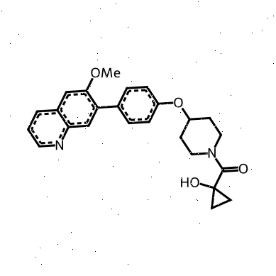 COc1cc2cccnc2cc1-c1ccc(OC2CCN(C(=O)C3(O)CC3)CC2)cc1